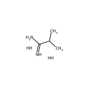 CC(C)C(=N)N.[HH].[HH]